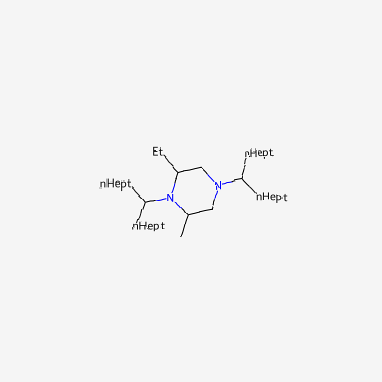 CCCCCCCC(CCCCCCC)N1CC(C)N(C(CCCCCCC)CCCCCCC)C(CC)C1